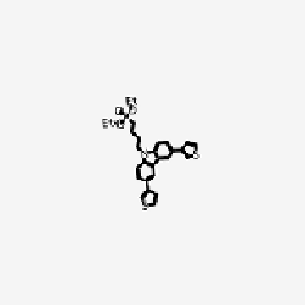 CCOP(=O)(CCCCn1c2ccc(-c3ccsc3)cc2c2cc(-c3ccsc3)ccc21)OCC